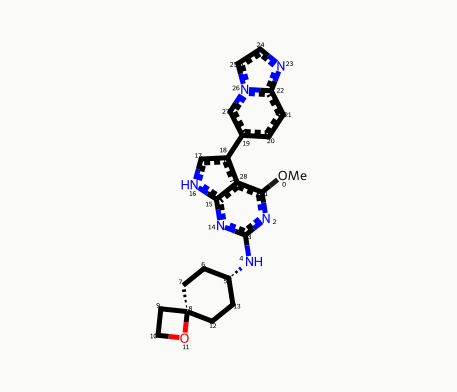 COc1nc(N[C@H]2CC[C@]3(CCO3)CC2)nc2[nH]cc(-c3ccc4nccn4c3)c12